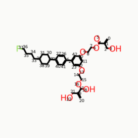 C=C(CO)C(=O)OCCOc1cc(OCCOC(O)C(=C)CO)cc(-c2ccc(C3CCC(CCCCF)CC3)cc2)c1